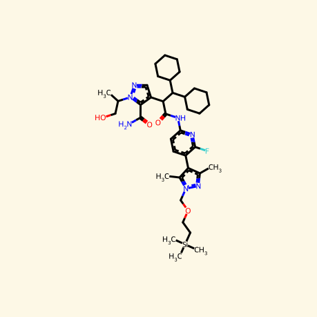 Cc1nn(COCC[Si](C)(C)C)c(C)c1-c1ccc(NC(=O)C(c2cnn(C(C)CO)c2C(N)=O)C(C2CCCCC2)C2CCCCC2)nc1F